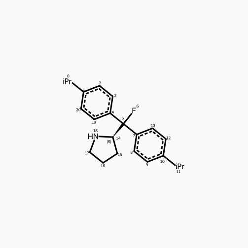 CC(C)c1ccc(C(F)(c2ccc(C(C)C)cc2)[C@H]2CCCN2)cc1